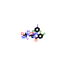 CC(C)(NCC1(O)CN(C(=O)c2ccc(F)c(F)c2Nc2ccc(I)cc2F)C1)C(N)=O